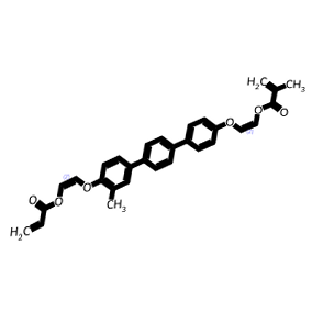 C=CC(=O)O/C=C\Oc1ccc(-c2ccc(-c3ccc(O/C=C\OC(=O)C(=C)C)cc3)cc2)cc1C